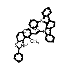 C/C(=C\c1ccc2c(c1C)C1NC(c3ccccc3)SC1C=C2)n1c2ccccc2c2ccc3c4ccccc4n(-c4ccccc4)c3c21